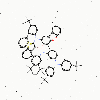 CC(C)(C)c1ccc(N(c2ccc(C(C)(C)C)cc2)c2ccc(-c3c4c(cc5c3oc3ccccc35)N(c3ccc(C(C)(C)C)cc3-c3ccccc3)c3sc5ccccc5c3B4)c(Nc3ccc4c(c3)C(C)(C)CCC4(C)C)c2)cc1